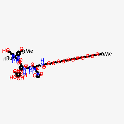 CCCCc1nc2c(NC(=O)OCc3ccc(O[C@H]4O[C@H](CO)[C@@H](O)[C@H](O)[C@@H]4O)c(NC(=O)CCNC(=O)[C@H](CCCCNC(=O)CCOCCOCCOCCOCCOCCOCCOCCOCCOCCOCCOCCOC)NC(=O)CCN4C(=O)C=CC4=O)c3)nc3cc(C(=O)OC)ccc3c2n1CCCCO